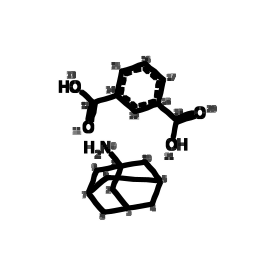 NC12CC3CC(CC(C3)C1)C2.O=C(O)c1cccc(C(=O)O)c1